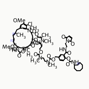 COc1cc2cc(c1Cl)N(C)C(=O)C[C@H](OC(=O)[C@H](C)N(C)C(=O)CCOC(=O)N(C)CCN(C)C(=O)OCc1ccc(OC(=O)NC3/C=C/CCCCC3)c(C(=O)NCCN3C(=O)C=CC3=O)c1)[C@]1(C)OC1[C@H](C)[C@@H]1C[C@@](O)(NC(=O)O1)[C@H](OC)/C=C/C=C(\C)C2